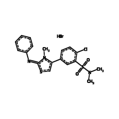 Br.CN(C)S(=O)(=O)c1cc(-c2cs/c(=N/c3ccccc3)n2C)ccc1Cl